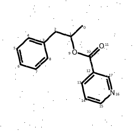 CC(Cc1ccccc1)OC(=O)c1cccnc1